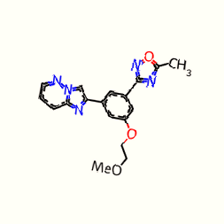 COCCOc1cc(-c2cn3ncccc3n2)cc(-c2noc(C)n2)c1